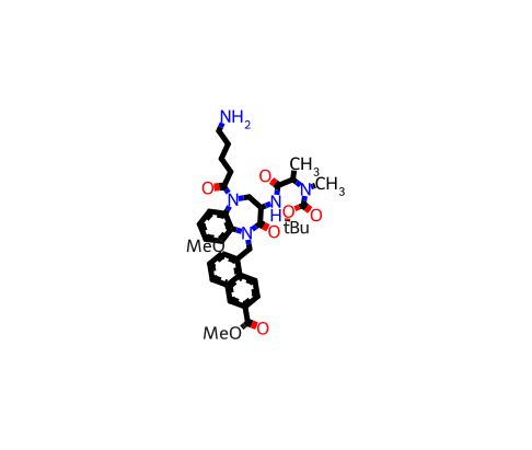 COC(=O)c1ccc2c(CN3C(=O)C(NC(=O)C(C)N(C)C(=O)OC(C)(C)C)CN(C(=O)CCCCN)c4ccccc43)c(OC)ccc2c1